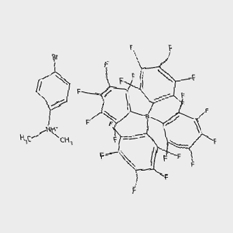 C[NH+](C)c1ccc(Br)cc1.Fc1c(F)c(F)c([B-](c2c(F)c(F)c(F)c(F)c2F)(c2c(F)c(F)c(F)c(F)c2F)c2c(F)c(F)c(F)c(F)c2F)c(F)c1F